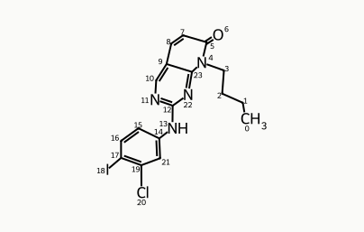 CCCCn1c(=O)ccc2cnc(Nc3ccc(I)c(Cl)c3)nc21